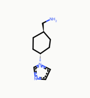 NC[C@H]1CC[C@H](n2ccnc2)CC1